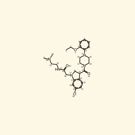 CCOc1ccccc1N1CCN(C(=O)C2CN(CC(=O)NCCN(C)C)c3cc(Cl)ccc32)CC1